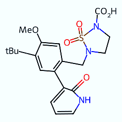 COc1cc(CN2CCN(C(=O)O)S2(=O)=O)c(-c2ccc[nH]c2=O)cc1C(C)(C)C